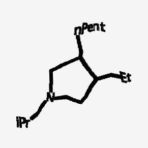 CCCCCC1CN(C(C)C)CC1CC